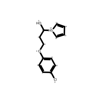 OC(CCOc1ccc(Cl)cc1)[SH]1C=CC=C1